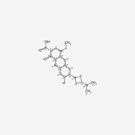 CCn1cc(C(=O)O)c(=O)c2nc3cc(F)c(N4CC(N(C)C)C4)cc3cc21